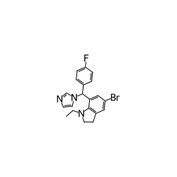 CCN1CCc2cc(Br)cc(C(c3ccc(F)cc3)n3ccnc3)c21